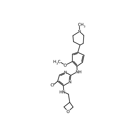 COc1cc(C2CCN(C)CC2)ccc1Nc1ncc(Cl)c(NCC2COC2)n1